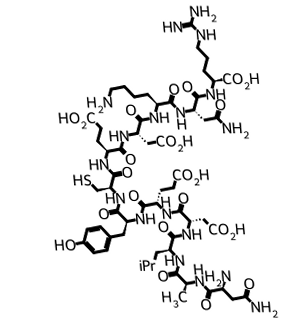 CC(C)C[C@H](NC(=O)[C@H](C)NC(=O)[C@@H](N)CC(N)=O)C(=O)N[C@@H](CC(=O)O)C(=O)N[C@@H](CCC(=O)O)C(=O)N[C@@H](Cc1ccc(O)cc1)C(=O)N[C@@H](CS)C(=O)N[C@@H](CCC(=O)O)C(=O)N[C@@H](CC(=O)O)C(=O)N[C@@H](CCCCN)C(=O)N[C@@H](CC(N)=O)C(=O)N[C@@H](CCCNC(=N)N)C(=O)O